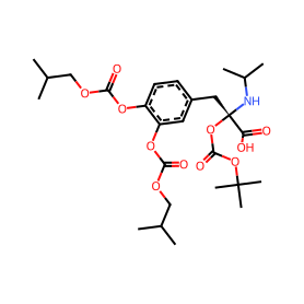 CC(C)COC(=O)Oc1ccc(C[C@](NC(C)C)(OC(=O)OC(C)(C)C)C(=O)O)cc1OC(=O)OCC(C)C